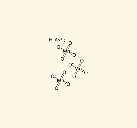 [AsH3+3].[O]=[Mn](=[O])(=[O])[O-].[O]=[Mn](=[O])(=[O])[O-].[O]=[Mn](=[O])(=[O])[O-]